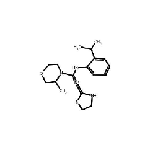 CC(C)c1ccccc1NC(=[N+]=C1NCCS1)N1CCOCC1C